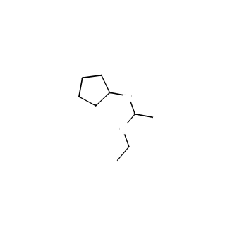 [CH2]C(OCC)OC1CCCC1